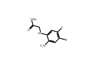 COC(=O)CNc1cc(F)c(Br)cc1[N+](=O)[O-]